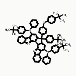 CC(C)(C)c1ccc(Oc2ccc(C3(c4ccc(C(C)(C)C)cc4)c4cc(N(c5ccccc5)c5ccc(C(C)(C)C)cc5)c5c(oc6ccccc65)c4-c4c3cc(N(c3ccccc3)c3ccc(C(C)(C)C)cc3)c3c4oc4ccccc43)cc2)cc1